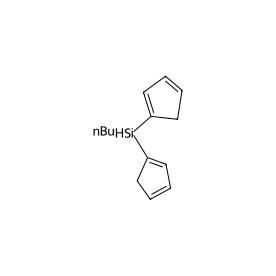 CCCC[SiH](C1=CC=CC1)C1=CC=CC1